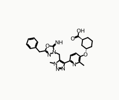 Cc1nc(-c2nnn(C)c2Cn2nc(Cc3ccccc3)oc2=N)ccc1O[C@H]1CCC[C@H](C(=O)O)C1